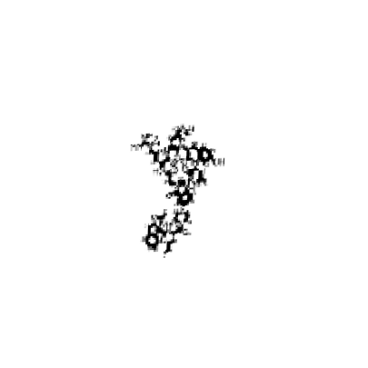 CCCC[C@H](NC(=O)C1(NC(C)=O)CCc2ccccc21)C(=O)N1CCN(c2ccc3ncn(CC(=O)N[C@@H](CCCNC(=N)N)C(=O)N[C@@H](Cc4c[nH]cn4)C(=O)N[C@@H](Cc4ccc(O)cc4)C(=O)N[C@@H](CC(C)C)C(=O)NC)c(=O)c3c2)CC1